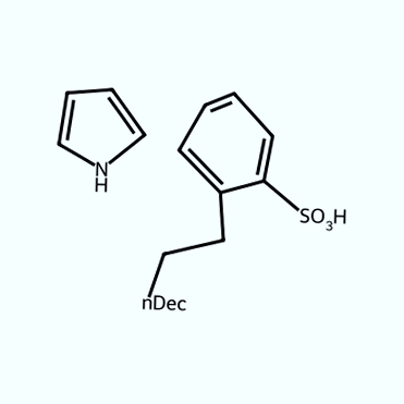 CCCCCCCCCCCCc1ccccc1S(=O)(=O)O.c1cc[nH]c1